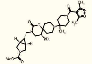 CCCC[C@H]1CN(C[C@@H]2[C@@H]3CN(C(=O)OC)C[C@@H]32)C(=O)OC12CCN(C1(C)CCN(C(=O)c3c(C)noc3C(F)(F)F)CC1)CC2